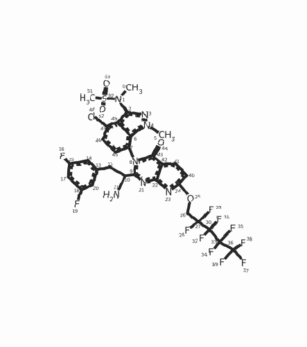 CN(c1nn(C)c2c(-n3c(C(N)Cc4cc(F)cc(F)c4)nc4nc(OCC(F)(F)C(F)(F)C(F)(F)C(F)(F)F)ccc4c3=O)ccc(Cl)c12)S(C)(=O)=O